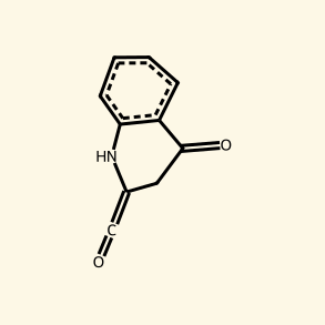 O=C=C1CC(=O)c2ccccc2N1